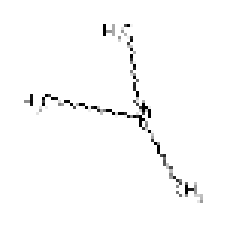 CCCCCCCCCCCCCC1N(CCCCCCCCCCC)C=CN1CCCCCCCCCCC